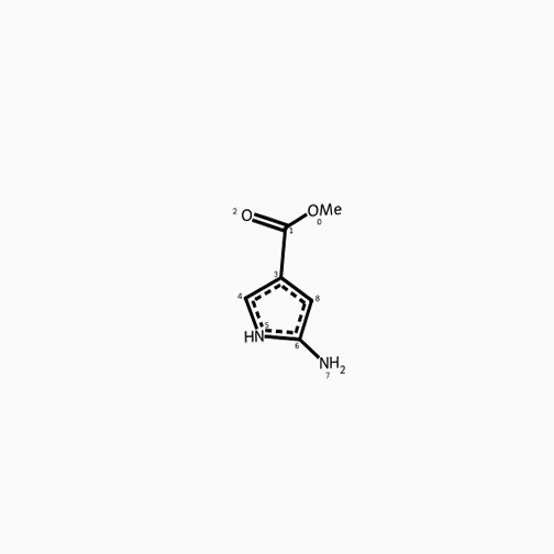 COC(=O)c1c[nH]c(N)c1